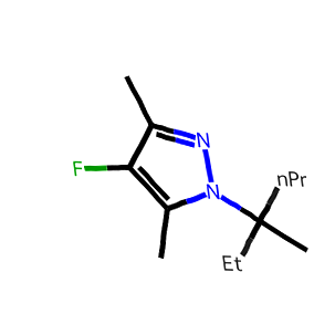 CCCC(C)(CC)n1nc(C)c(F)c1C